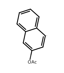 CC(=O)Oc1c[c]c2ccccc2c1